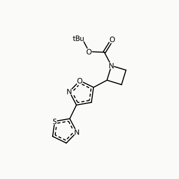 CC(C)(C)OC(=O)N1CCC1c1cc(-c2nccs2)no1